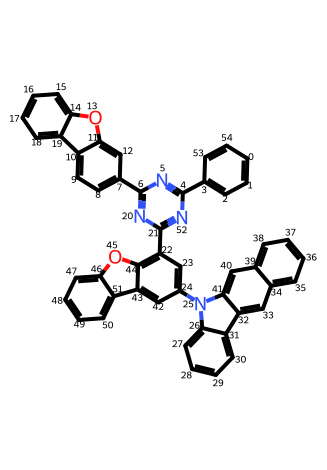 c1ccc(-c2nc(-c3ccc4c(c3)oc3ccccc34)nc(-c3cc(-n4c5ccccc5c5cc6ccccc6cc54)cc4c3oc3ccccc34)n2)cc1